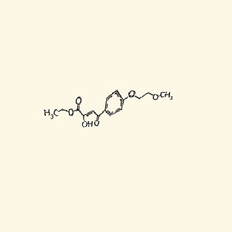 CCOC(=O)C(O)=CC(=O)c1ccc(OCCOC)cc1